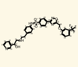 O=S(=O)(Nc1ccc(CCNCC(O)c2cccnc2)cc1)c1ccc(-c2noc(COc3cccc(C(F)(F)F)c3)n2)cc1